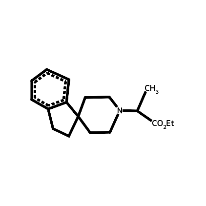 CCOC(=O)C(C)N1CCC2(CCc3ccccc32)CC1